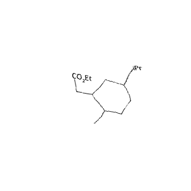 CCOC(=O)CC1CC(C(C)C)CCC1C